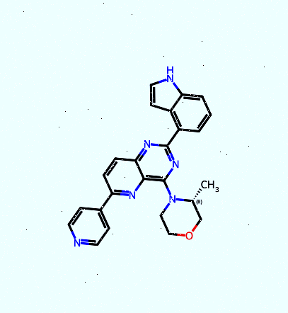 C[C@@H]1COCCN1c1nc(-c2cccc3[nH]ccc23)nc2ccc(-c3ccncc3)nc12